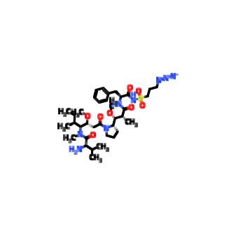 CC[C@H](C)[C@@H]([C@@H](CC(=O)N1CCC[C@H]1[C@H](OC)[C@@H](C)C(=O)N[C@@H](Cc1ccccc1)C(=O)NS(=O)(=O)CCCN=[N+]=[N-])OC)N(C)C(=O)C(N)C(C)C